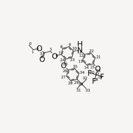 CCOC(=O)COc1ccc(Nc2ccc(OC(F)(F)F)cc2)cc1Oc1ccc(C(C)(C)C)cc1